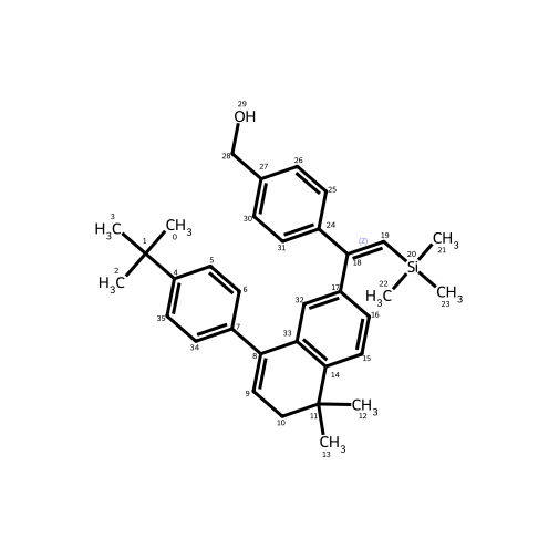 CC(C)(C)c1ccc(C2=CCC(C)(C)c3ccc(/C(=C\[Si](C)(C)C)c4ccc(CO)cc4)cc32)cc1